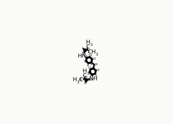 CC1(C)C=C1Nc1ccc(Cc2ccc(NC3=CC3(C)C)cc2)cc1